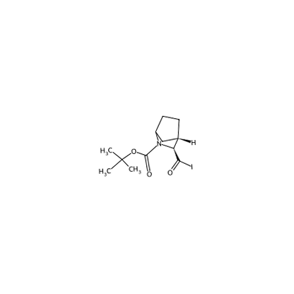 CC(C)(C)OC(=O)N1C2CC[C@@H](C2)[C@H]1C(=O)I